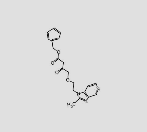 Cc1nc2cnccc2n1CCOCC(=O)CC(=O)OCc1ccccc1